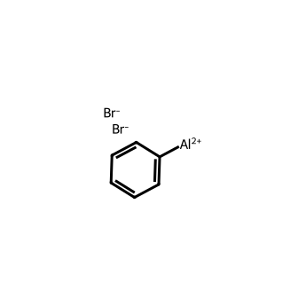 [Al+2][c]1ccccc1.[Br-].[Br-]